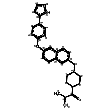 CN(C)C(=O)C1CCN(Cc2ccc3cc(Oc4ncc(-c5ccn[nH]5)cn4)ccc3c2)CC1